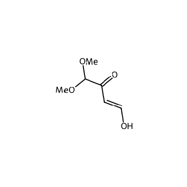 COC(OC)C(=O)C=CO